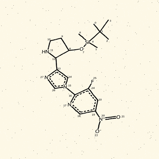 CC(C)(C)[Si](C)(C)OC1CCNC1c1cn(-c2ncc([N+](=O)[O-])cc2F)cn1